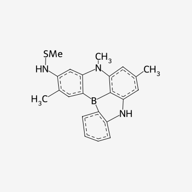 CSNc1cc2c(cc1C)B1c3ccccc3Nc3cc(C)cc(c31)N2C